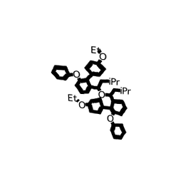 CCOc1ccc(-c2c(Oc3ccccc3)cccc2C(CC(C)C)OC(CC(C)C)c2cccc(Oc3ccccc3)c2-c2ccc(OCC)cc2)cc1